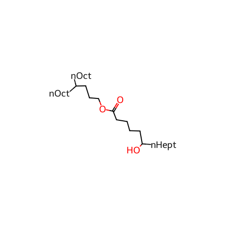 CCCCCCCCC(CCCCCCCC)CCCOC(=O)CCCCC(O)CCCCCCC